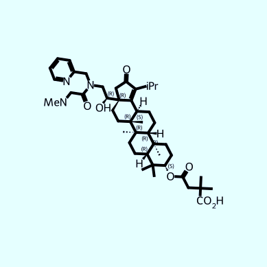 CNCC(=O)N(Cc1ccccn1)C[C@H](O)[C@@]12CC[C@]3(C)[C@H](CC[C@@H]4[C@@]5(C)CC[C@H](OC(=O)CC(C)(C)C(=O)O)C(C)(C)[C@@H]5CC[C@]43C)C1=C(C(C)C)C(=O)C2